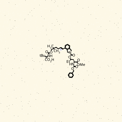 CCC(C[C@H](NC(=O)OCc1ccccc1)C(=O)OC)OC(=O)N1Cc2cccc(/C=C/CCC(C)(C)COC(=O)N[C@H](C(=O)O)C(C)(C)C)c2C1